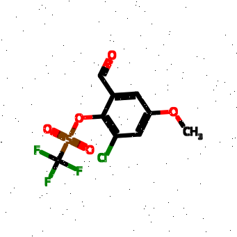 COc1cc(Cl)c(OS(=O)(=O)C(F)(F)F)c(C=O)c1